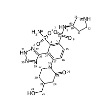 NS(=O)(=O)c1c(S(=O)(=O)N[C@@H]2CCNC2)ccc(N2CCC(CO)CC2=O)c1-c1nn[nH]n1